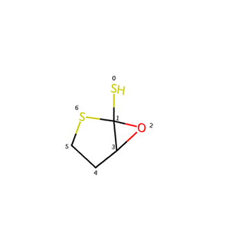 SC12OC1CCS2